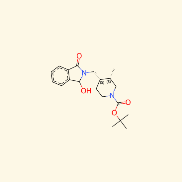 C[C@@H]1CN(C(=O)OC(C)(C)C)CC[C@@H]1CN1C(=O)c2ccccc2C1O